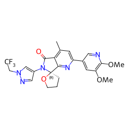 COc1cc(-c2cc(C)c3c(n2)[C@]2(CCCO2)N(c2cnn(CC(F)(F)F)c2)C3=O)cnc1OC